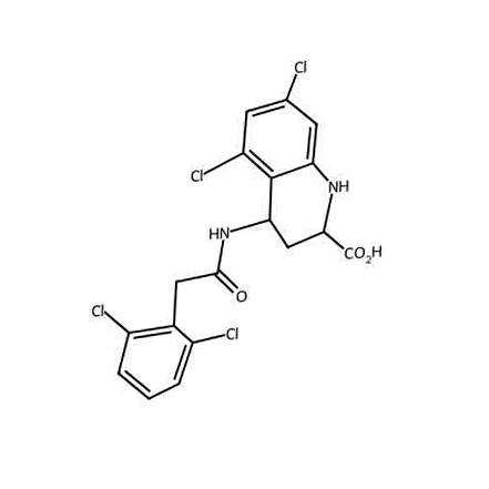 O=C(Cc1c(Cl)cccc1Cl)NC1CC(C(=O)O)Nc2cc(Cl)cc(Cl)c21